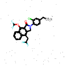 O=C(O)Cc1ccc(N2Cc3c(c(OC(F)F)c4ccccc4c3CC(F)F)C2=O)c(Cl)c1